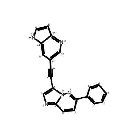 C(#Cc1cnc2ccc(-c3cc[c]cc3)nn12)c1cnc2cc[nH]c2c1